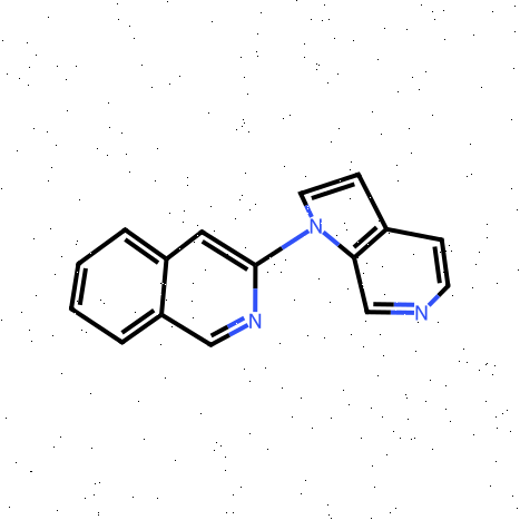 c1ccc2cc(-n3ccc4ccncc43)ncc2c1